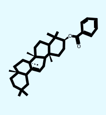 CC1(C)CC[C@]2(C)CC[C@]3(C)C(=CCC4[C@@]5(C)CC[C@H](OC(=O)c6ccccc6)C(C)(C)C5CC[C@]43C)C2C1